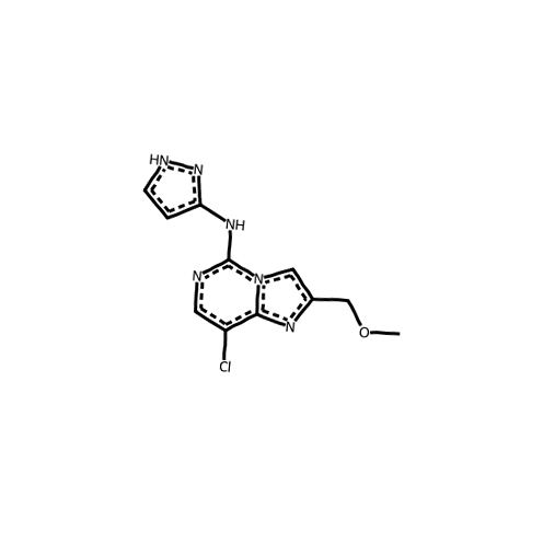 COCc1cn2c(Nc3cc[nH]n3)ncc(Cl)c2n1